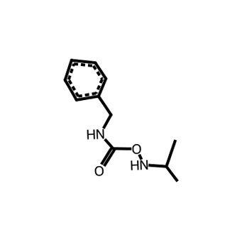 CC(C)NOC(=O)NCc1ccccc1